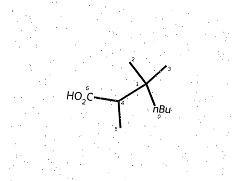 CCCCC(C)(C)C(C)C(=O)O